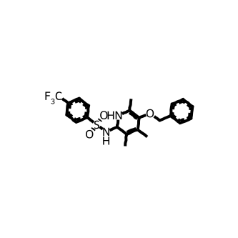 CC1=C(OCc2ccccc2)C(C)=C(C)C(NS(=O)(=O)c2ccc(C(F)(F)F)cc2)N1